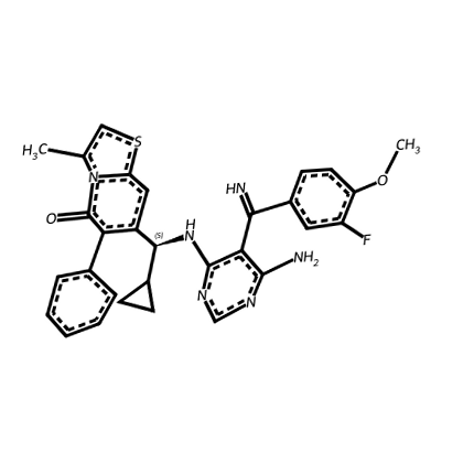 COc1ccc(C(=N)c2c(N)ncnc2N[C@H](c2cc3scc(C)n3c(=O)c2-c2ccccc2)C2CC2)cc1F